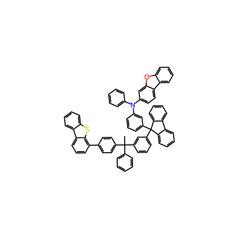 CC(c1ccccc1)(c1ccc(-c2cccc3c2sc2ccccc23)cc1)c1cccc(C2(c3cccc(N(c4ccccc4)c4ccc5c(c4)oc4ccccc45)c3)c3ccccc3-c3ccccc32)c1